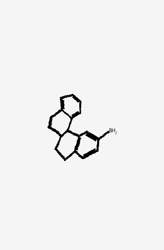 Bc1ccc2c(c1)C1c3ccccc3CCC1CC2